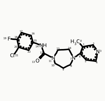 Cc1cnccc1N1CCCN(C(=O)Nc2ccc(F)c(Cl)c2)CC1